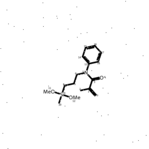 C=C(C)C(=O)N(CCC[Si](C)(OC)OC)c1ccccc1